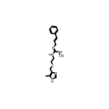 Cc1[nH]cnc1CSCCNC(=NCC=Cc1ccccc1)NC#N